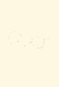 Cc1cc(F)ccc1C(C)c1ccccc1